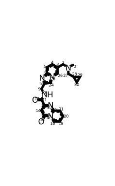 CN(Cc1ccc2nc(CNC(=O)c3cc(=O)n4ccccc4n3)cn2c1)CC1CC1